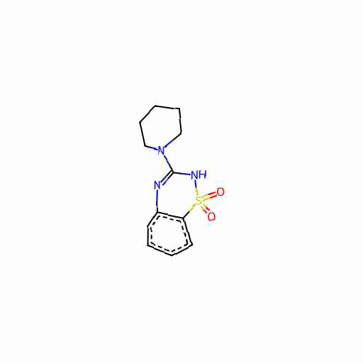 O=S1(=O)NC(N2CCCCC2)=Nc2ccccc21